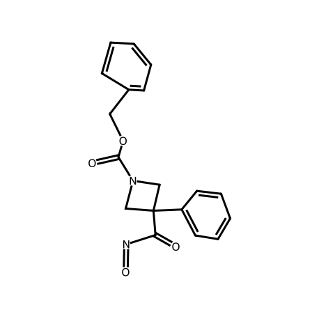 O=NC(=O)C1(c2ccccc2)CN(C(=O)OCc2ccccc2)C1